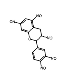 O=Nc1cc(N=O)c2c(c1)OC(c1ccc(N=O)c(N=O)c1)C(N=O)C2